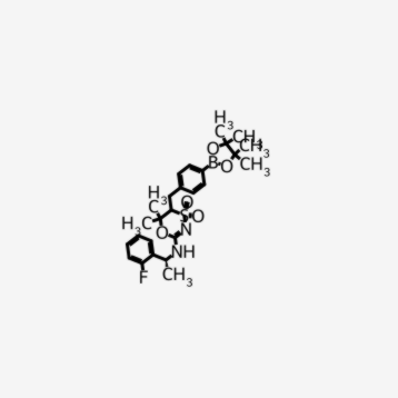 C[C@H](NC1=NS(=O)(=O)C(Cc2ccc(B3OC(C)(C)C(C)(C)O3)cc2)C(C)(C)O1)c1ccccc1F